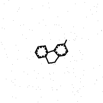 Cc1ccc2c(c1)-c1ccccc1CC2